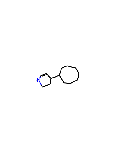 C1=CC(C2CCCCCCC2)CC[N]1